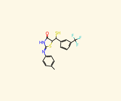 Cc1ccc(/N=C2/NC(=O)C(C(S)c3cccc(C(F)(F)F)c3)S2)cc1